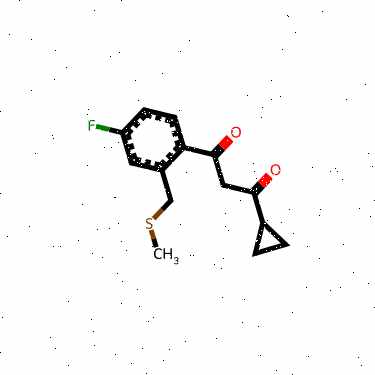 CSCc1cc(F)ccc1C(=O)CC(=O)C1CC1